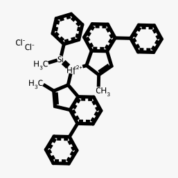 CC1=Cc2c(-c3ccccc3)cccc2[CH]1[Hf+2]([CH]1C(C)=Cc2c(-c3ccccc3)cccc21)=[Si](C)c1ccccc1.[Cl-].[Cl-]